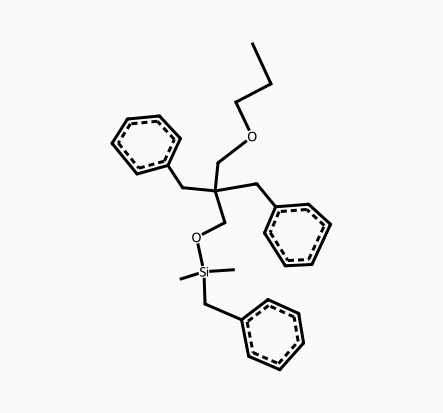 CCCOCC(CO[Si](C)(C)Cc1ccccc1)(Cc1ccccc1)Cc1ccccc1